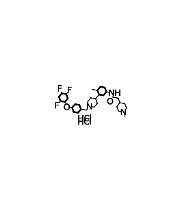 Cc1ccc(NC(=O)CC2CCN(C)CC2)cc1C1CCN(Cc2ccc(Oc3cc(F)c(F)cc3F)cc2)CC1.Cl.Cl